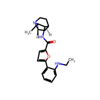 CCNc1ccccc1-c1ccc(C(=O)N[C@@H]2C3CCN(CC3)[C@H]2C)o1